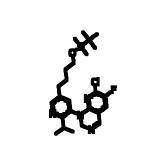 CC(C)c1ncc(CCCCO[Si](C)(C)C(C)(C)C)cc1N1CN=Cc2cc(F)c(Cl)nc21